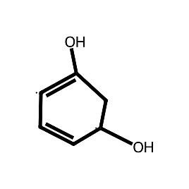 O[C]1C=C[C]=C(O)C1